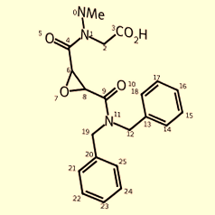 CNN(CC(=O)O)C(=O)C1OC1C(=O)N(Cc1ccccc1)Cc1ccccc1